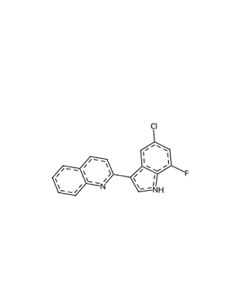 Fc1cc(Cl)cc2c(-c3ccc4ccccc4n3)c[nH]c12